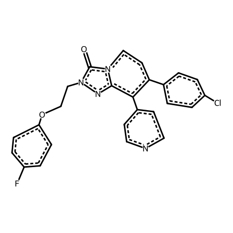 O=c1n(CCOc2ccc(F)cc2)nc2c(-c3ccncc3)c(-c3ccc(Cl)cc3)ccn12